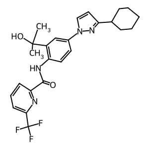 CC(C)(O)c1cc(-n2ccc(C3CCCCC3)n2)ccc1NC(=O)c1cccc(C(F)(F)F)n1